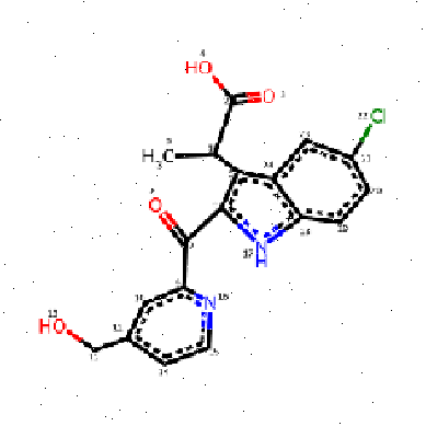 CC(C(=O)O)c1c(C(=O)c2cc(CO)ccn2)[nH]c2ccc(Cl)cc12